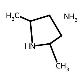 CC1CCC(C)N1.N